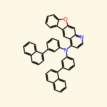 c1cc(-c2cccc3ccccc23)cc(N(c2cccc(-c3cccc4ccccc34)c2)c2ccnc3cc4oc5ccccc5c4cc23)c1